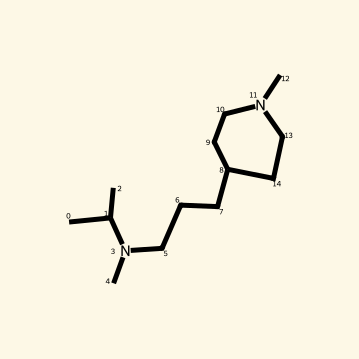 CC(C)N(C)CCCC1CCN(C)CC1